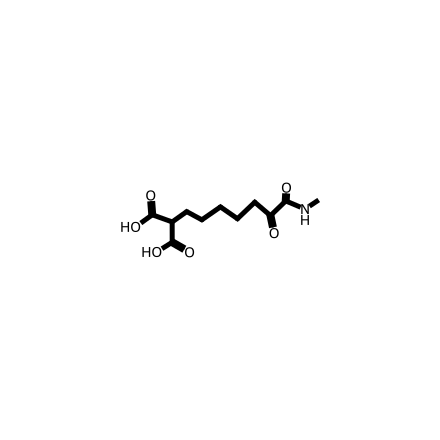 CNC(=O)C(=O)CCCCCC(C(=O)O)C(=O)O